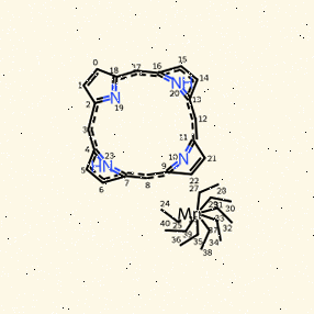 C1=Cc2cc3ccc(cc4nc(cc5ccc(cc1n2)[nH]5)C=C4)[nH]3.C[CH2][Mn]([CH2]C)([CH2]C)([CH2]C)([CH2]C)([CH2]C)([CH2]C)[CH2]C